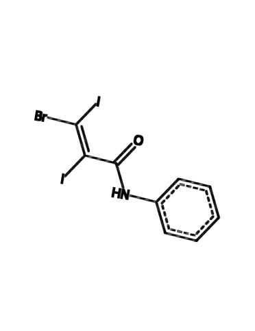 O=C(Nc1ccccc1)C(I)=C(Br)I